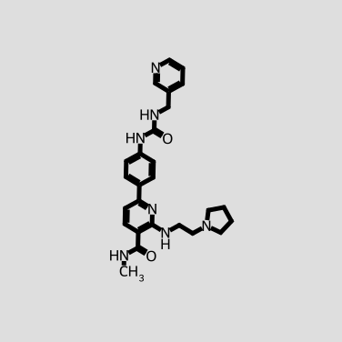 CNC(=O)c1ccc(-c2ccc(NC(=O)NCc3cccnc3)cc2)nc1NCCN1CCCC1